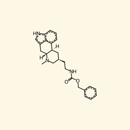 CN1C[C@H](CCNC(=O)OCc2ccccc2)C[C@@H]2c3cccc4[nH]cc(c34)C[C@H]21